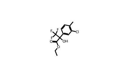 CCOC(=O)C(O)(c1ccc(C)c(Cl)c1)C(F)(F)F